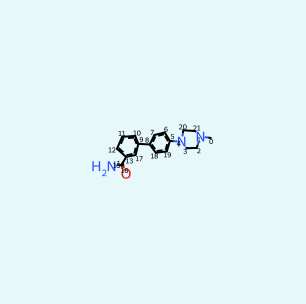 CN1CCN(c2ccc(-c3cccc(C(N)=O)c3)cc2)CC1